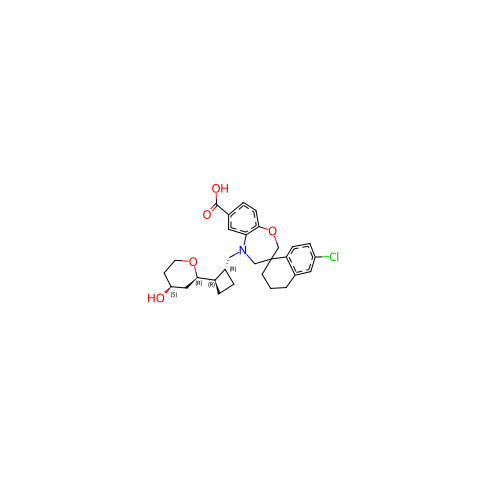 O=C(O)c1ccc2c(c1)N(C[C@@H]1CC[C@H]1[C@H]1C[C@@H](O)CCO1)CC1(CCCc3cc(Cl)ccc31)CO2